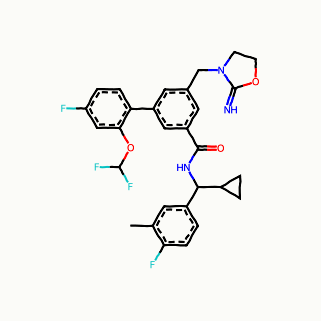 Cc1cc(C(NC(=O)c2cc(CN3CCOC3=N)cc(-c3ccc(F)cc3OC(F)F)c2)C2CC2)ccc1F